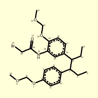 CCC(c1ccc(OCOC)cc1)C(CC)c1ccc(OCOC)c(NC(=O)CBr)c1